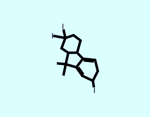 CC1(C)C2=CC(I)CC=C2C2CCC(I)(I)CC21